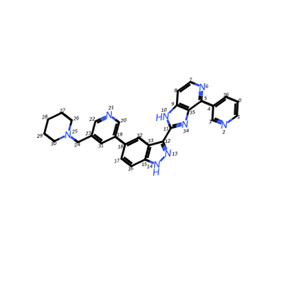 c1cncc(-c2nccc3[nH]c(-c4n[nH]c5ccc(-c6cncc(CN7CCCCC7)c6)cc45)nc23)c1